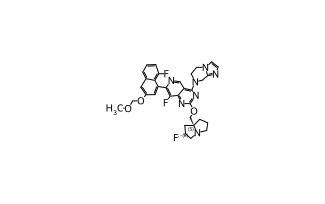 COCOc1cc(-c2ncc3c(N4CCn5ccnc5C4)nc(OC[C@@]45CCCN4C[C@H](F)C5)nc3c2F)c2c(F)cccc2c1